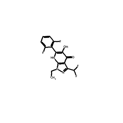 CCn1nc(C(F)F)c2c(=O)c(O)c(-c3c(F)cccc3F)[nH]c21